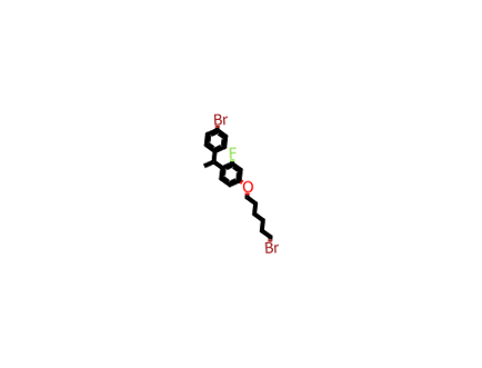 CC(c1ccc(Br)cc1)c1ccc(OCCCCCCBr)cc1F